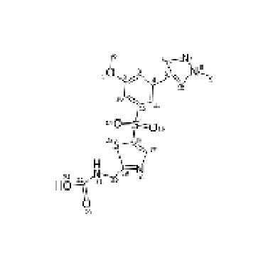 COc1cc(-c2cnn(C)c2)cc(S(=O)(=O)c2cnc(CNC(=O)O)s2)c1